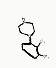 Cc1cccc(N2CCNCC2)c1C